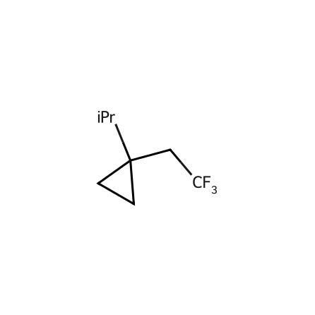 CC(C)C1(CC(F)(F)F)CC1